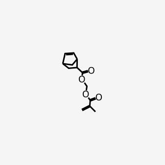 C=C(C)C(=O)OCOC(=O)C1CC2C=CC1C2